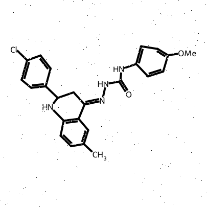 COc1ccc(NC(=O)NN=C2CC(c3ccc(Cl)cc3)Nc3ccc(C)cc32)cc1